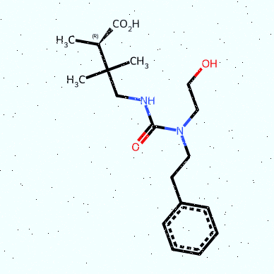 C[C@@H](C(=O)O)C(C)(C)CNC(=O)N(CCO)CCc1ccccc1